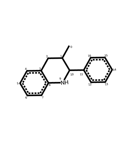 CC1Cc2ccccc2NC1c1ccccc1